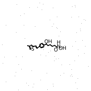 Cc1csc(C=Cc2ccc(C(O)CCCCC(=O)NO)cc2)c1